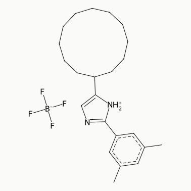 Cc1cc(C)cc(C2=NC=C(C3CCCCCCCCCCC3)[NH2+]2)c1.F[B-](F)(F)F